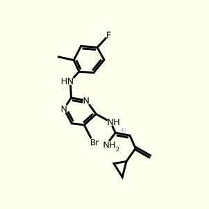 C=C(/C=C(\N)Nc1nc(Nc2ccc(F)cc2C)ncc1Br)C1CC1